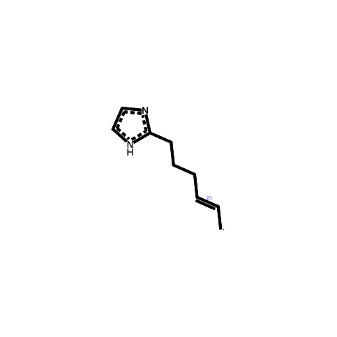 [CH2]/C=C/CCCc1ncc[nH]1